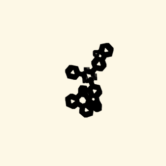 c1ccc(-c2nc(-c3ccc4c(c3)C3(c5ccccc5-c5ccccc5-c5ccccc53)c3ccccc3-4)nc(-c3ccc4c(c3)oc3ccccc34)n2)cc1